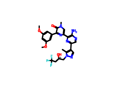 COc1cc(OC)cc(-c2nc(-c3nc(-c4cnn(C[C@H](O)CC(F)(F)F)c4C)cnc3N)cn(C)c2=O)c1